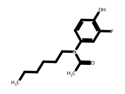 CCCCCCN(C(C)=O)c1ccc(O)c(F)c1